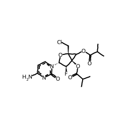 CC(C)C(=O)OC1[C@@]2(CCl)O[C@@H](n3ccc(N)nc3=O)[C@H](F)[C@@]12OC(=O)C(C)C